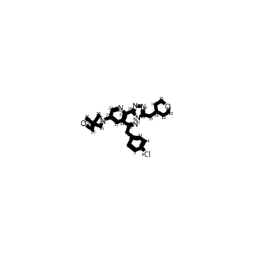 Clc1ccc(Cc2nn3c(CC4CCOCC4)nnc3c3ncc(N4CC5(COC5)C4)cc23)cc1